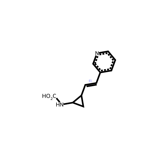 O=C(O)NC1CC1/C=C/c1cccnc1